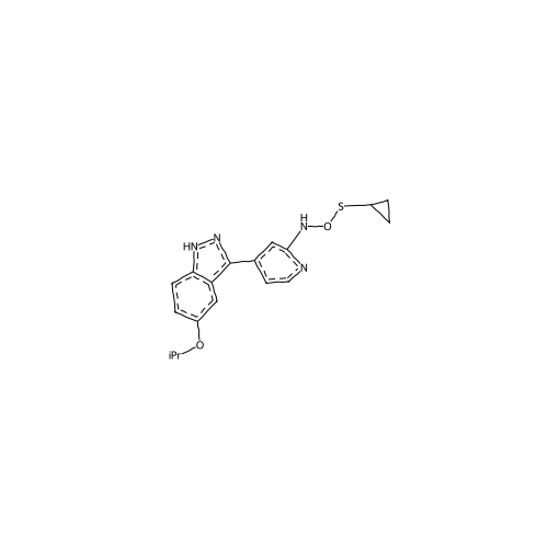 CC(C)Oc1ccc2[nH]nc(-c3ccnc(NOSC4CC4)c3)c2c1